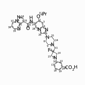 CC(C)Oc1cc2nc(N3CCN(CC4(F)CN(c5cccc(C(=O)O)c5)C4)CC3)cn2cc1NC(=O)c1cnn2cccnc12